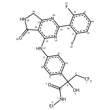 CCNC(=O)C(O)(CC(F)(F)F)c1ccc(Nc2nc(-c3c(F)cccc3F)nc3c2C(=O)NC3)cc1